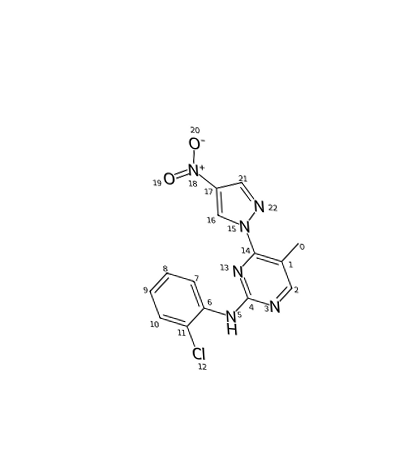 Cc1cnc(Nc2ccccc2Cl)nc1-n1cc([N+](=O)[O-])cn1